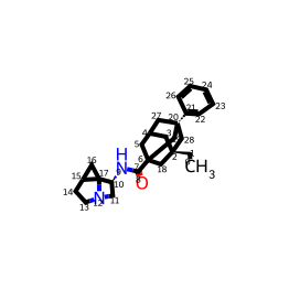 CC[C@]12CC3CC(C(=O)N[C@@H]4CN5CCC6CC645)(C1)C[C@@](c1ccccc1)(C3)C2